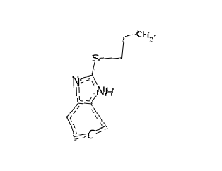 [CH2]CCSc1nc2ccccc2[nH]1